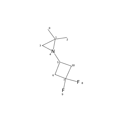 CC1(C)CN1C1CC(F)(F)C1